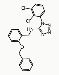 Clc1cccc(-n2nnnc2NCc2ccccc2OCc2ccccc2)c1Cl